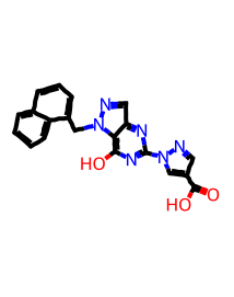 O=C(O)c1cnn(-c2nc(O)c3c(cnn3Cc3cccc4ccccc34)n2)c1